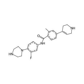 Cc1cc(C2=CCNCC2)ccc1C(=O)Nc1ccc(N2CCNCC2)c(F)c1